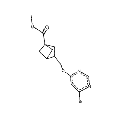 COC(=O)C12CC(COc3cc(Br)ncn3)C(C1)C2